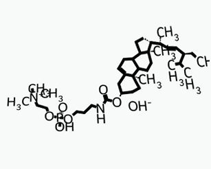 CC[C@H](/C=C/[C@@H](C)[C@H]1CCC2C3CC=C4C[C@@H](OC(=O)NCCCOP(=O)(O)OCC[N+](C)(C)C)CC[C@]4(C)C3CC[C@@]21C)C(C)C.[OH-]